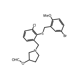 COc1ccc(Br)cc1CSc1c(Cl)cccc1CN1CCC(OC=O)C1